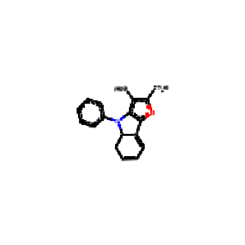 COc1c(C(=O)O)oc2c1N(c1ccccc1)C1CC=CC=C21